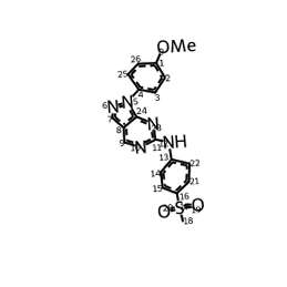 COc1ccc(-n2ncc3cnc(Nc4ccc(S(C)(=O)=O)cc4)nc32)cc1